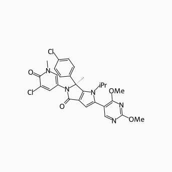 COc1ncc(-c2cc3c(n2C(C)C)[C@](C)(c2ccc(Cl)cc2)N(c2cc(Cl)c(=O)n(C)c2)C3=O)c(OC)n1